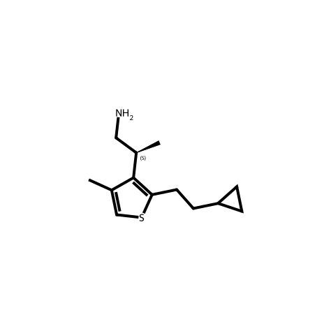 Cc1csc(CCC2CC2)c1[C@H](C)CN